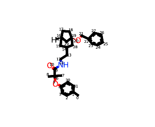 Cc1ccc(OC(C)(C)C(=O)NCCC2C[C@@H]3CC[C@@](OCc4ccccc4)(C2)C3)cc1